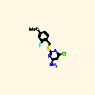 COc1ccc(CSc2nc(N)cc(Cl)n2)c(F)c1